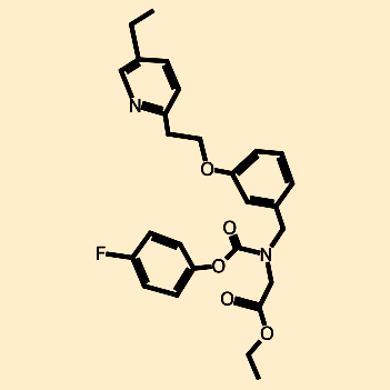 CCOC(=O)CN(Cc1cccc(OCCc2ccc(CC)cn2)c1)C(=O)Oc1ccc(F)cc1